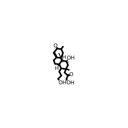 CC1C[C@@]2(C)C(=CC1=O)CC[C@H]1C(CCCO)C(C)(CC(=O)CO)C[C@H](O)[C@@H]12